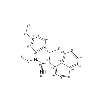 CCc1cccc(N(CC)C(=N)N(CC)c2cccc3ccccc23)c1